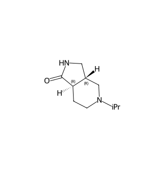 CC(C)N1CC[C@H]2C(=O)NC[C@@H]2C1